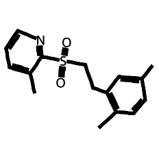 Cc1ccc(C)c(CCS(=O)(=O)c2ncccc2C)c1